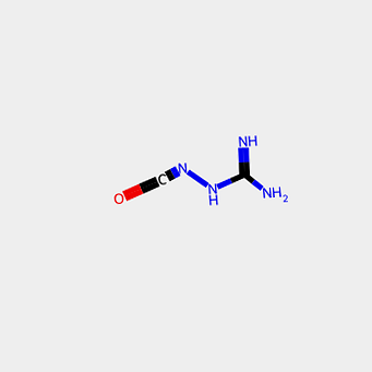 N=C(N)NN=C=O